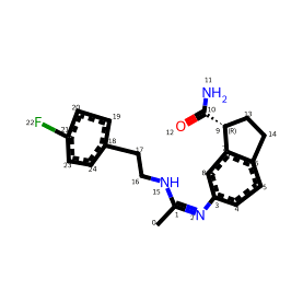 CC(=Nc1ccc2c(c1)[C@H](C(N)=O)CC2)NCCc1ccc(F)cc1